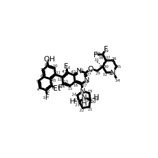 CCc1c(F)ccc2cc(O)cc(-c3c(F)cc4c(N5C[C@H]6CC[C@@H](C5)N6)nc(OC[C@]5(C)CN(C)CCC5C(F)F)nc4c3F)c12